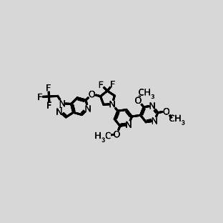 COc1cc(N2CC(Oc3cc4c(cn3)cnn4CC(F)(F)F)C(F)(F)C2)cc(-c2cnc(OC)nc2OC)n1